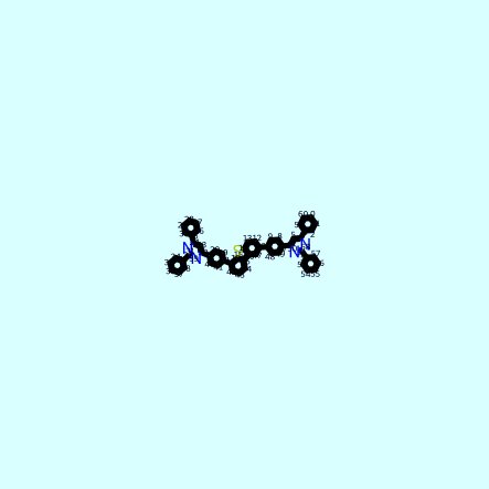 c1ccc(-c2cc(-c3ccc(-c4ccc5sc6c(-c7ccc(-c8cc(-c9ccccc9)nc(-c9ccccc9)n8)cc7)cccc6c5c4)cc3)nc(-c3ccccc3)n2)cc1